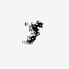 Cn1cc(-c2ccccc2F)c2cc(C(=O)NCc3ccc(C(=O)NO)cc3)[nH]c2c1=O